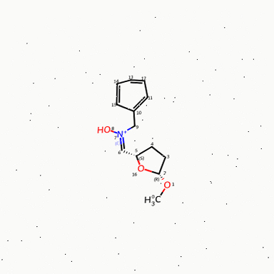 CO[C@H]1CC[C@@H](/C=[N+](/O)Cc2ccccc2)O1